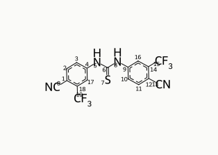 N#Cc1ccc(NC(=S)Nc2ccc(C#N)c(C(F)(F)F)c2)cc1C(F)(F)F